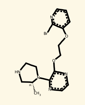 C[C@@H]1CNCCN1c1nccnc1OCCOc1cccnc1Br